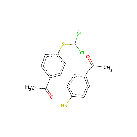 CC(=O)c1ccc(S)cc1.CC(=O)c1ccc(SC(Cl)Cl)cc1